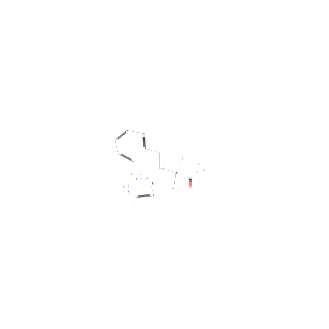 CC(C)(C(N)=O)C(Cc1ccccc1)n1ccnn1